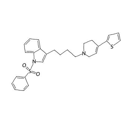 O=S(=O)(c1ccccc1)n1cc(CCCCN2CC=C(c3cccs3)CC2)c2ccccc21